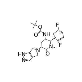 CN1C(=O)C(N2Cc3cn[nH]c3C2)CC(NC(=O)OC(C)(C)C)[C@H]1C1CC(F)=CC=C1F